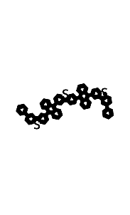 c1ccc(-c2ccc3sc4ccc(-c5c6ccccc6c(-c6ccc7c(c6)sc6ccc(-c8c9ccccc9c(-c9ccc%10sc%11ccc(-c%12ccccc%12)cc%11c%10c9)c9ccccc89)cc67)c6ccccc56)cc4c3c2)cc1